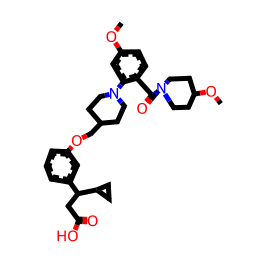 COc1ccc(C(=O)N2CCC(OC)CC2)c(N2CCC(COc3cccc(C(CC(=O)O)C4CC4)c3)CC2)c1